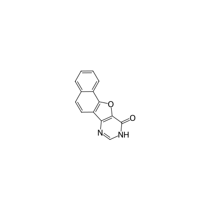 O=c1[nH]cnc2c1oc1c3ccccc3ccc21